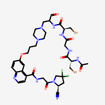 CC(=O)N[C@H](CS)C(=O)NCC(=O)N[C@H](CS)C(=O)NC(C=O)CN1CCN(CCCOc2ccc3nccc(C(=O)NCC(=O)N4CC(F)(F)C[C@H]4C#N)c3c2)CC1